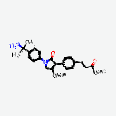 COC(=O)CCc1ccc(C2=C(OC)CN(c3ccc(C(C)(C)N)cc3)C2=O)cc1